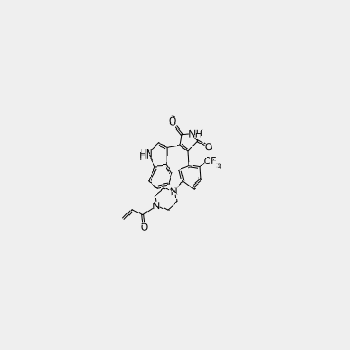 C=CC(=O)N1CCN(c2ccc(C(F)(F)F)c(C3=C(c4c[nH]c5ccccc45)C(=O)NC3=O)c2)CC1